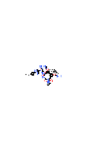 COc1c(OCCN)cc2cc1-c1cc(cc(OCCN)c1OC)[C@H](N(C)C(=O)[C@H](CCN)NC(=O)c1c(C)nc(-c3ccc(C(C)(C)C)cc3)nc1C)C(=O)N[C@@H](C)C(=O)N[C@H](C(=O)NCC#N)C2